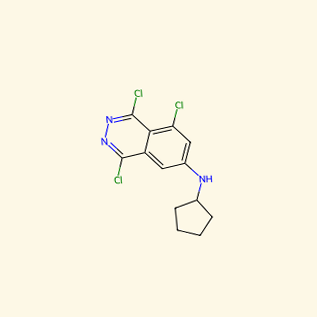 Clc1nnc(Cl)c2c(Cl)cc(NC3CCCC3)cc12